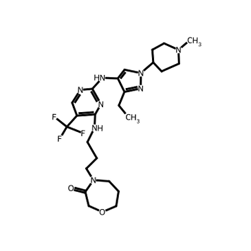 CCc1nn(C2CCN(C)CC2)cc1Nc1ncc(C(F)(F)F)c(NCCCN2CCCOCC2=O)n1